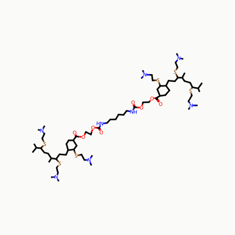 CC(C)C(CCC(C)C(CCC1CCC(C(=O)OCCOC(=O)NCCCCCCNC(=O)OCCOC(=O)C2CCC(CCC(SCCN(C)C)C(C)CCC(SCCN(C)C)C(C)C)C(SCCN(C)C)C2)CC1SCCN(C)C)SCCN(C)C)SCCN(C)C